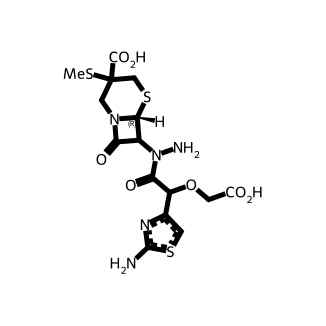 CSC1(C(=O)O)CS[C@@H]2C(N(N)C(=O)C(OCC(=O)O)c3csc(N)n3)C(=O)N2C1